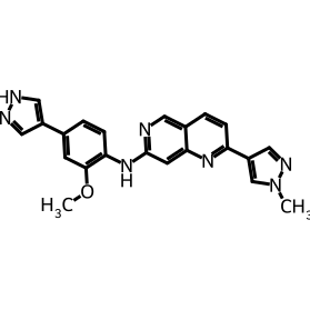 COc1cc(-c2cn[nH]c2)ccc1Nc1cc2nc(-c3cnn(C)c3)ccc2cn1